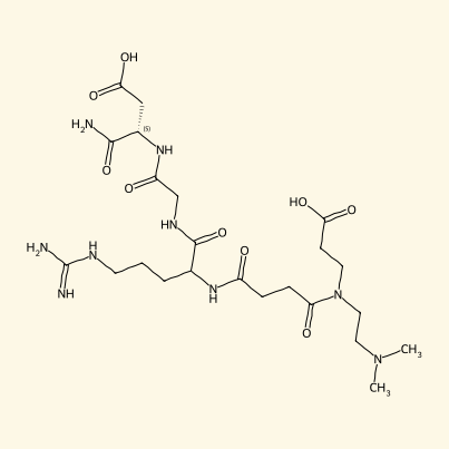 CN(C)CCN(CCC(=O)O)C(=O)CCC(=O)NC(CCCNC(=N)N)C(=O)NCC(=O)N[C@@H](CC(=O)O)C(N)=O